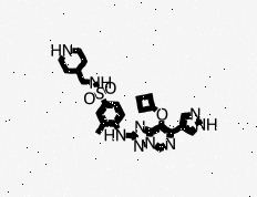 Cc1cc(S(=O)(=O)NCC2CCNCC2)ccc1Nc1nc2c(OC3CCC3)c(-c3cn[nH]c3)ncn2n1